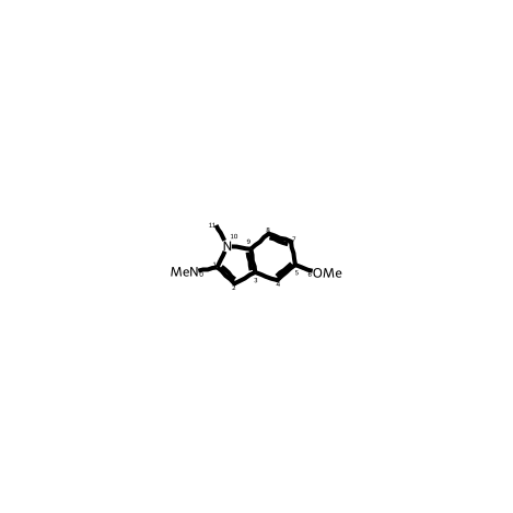 CNc1cc2cc(OC)ccc2n1C